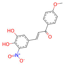 COc1ccc(C(=O)C=Cc2cc(O)c(O)c([N+](=O)[O-])c2)cc1